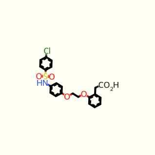 O=C(O)Cc1ccccc1OCCOc1ccc(NS(=O)(=O)c2ccc(Cl)cc2)cc1